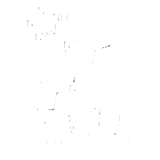 C[C@H]1C[C@@H](NC(=O)C2(c3cnc(C(F)(F)F)cc3O)CC2)CN(c2nnn[nH]2)C1